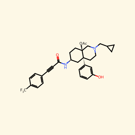 CC(=O)O[C@]12CC[C@H](NC(=O)C#Cc3ccc(C(F)(F)F)cc3)C[C@]1(c1cccc(O)c1)CCN(CC1CC1)C2